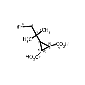 CC(C)CC(C)(C)C1[C@@H](C(=O)O)[C@@H]1C(=O)O